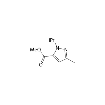 COC(=O)c1cc(C)nn1C(C)C